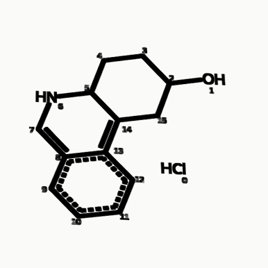 Cl.OC1CCC2NC=c3ccccc3=C2C1